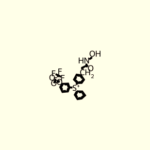 C=CC(=O)NCO.O=S(=O)([O-])C(F)(F)F.c1ccc([S+](c2ccccc2)c2ccccc2)cc1